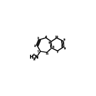 NC1C#CCC2=C(CC#CC2)C1